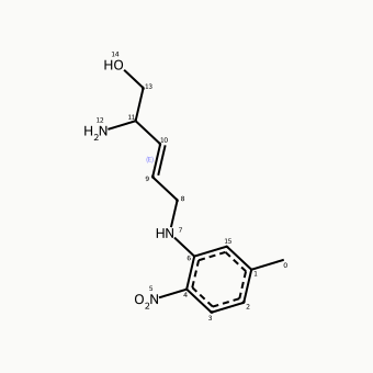 Cc1ccc([N+](=O)[O-])c(NC/C=C/C(N)CO)c1